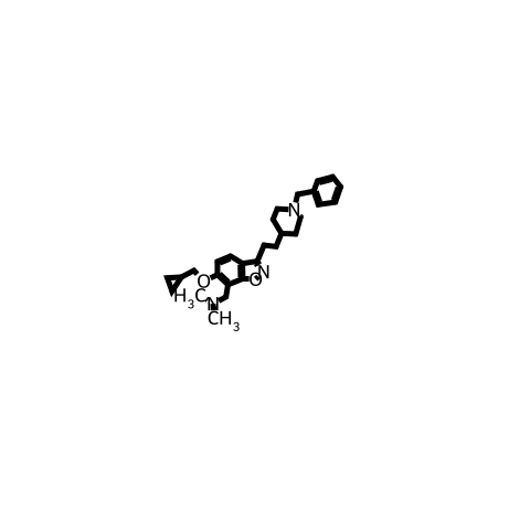 CN(C)Cc1c(OCC2CC2)ccc2c(CCC3CCN(Cc4ccccc4)CC3)noc12